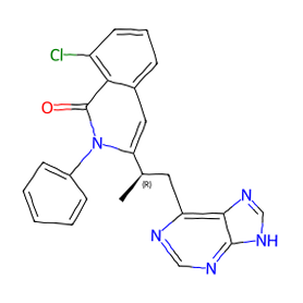 C[C@H](Cc1ncnc2[nH]cnc12)c1cc2cccc(Cl)c2c(=O)n1-c1ccccc1